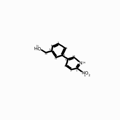 O=[N+]([O-])c1ccc(-c2cccc(CO)c2)cn1